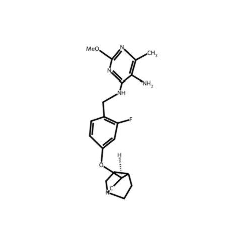 COc1nc(C)c(N)c(NCc2ccc(O[C@@H]3CN4CCC3CC4)cc2F)n1